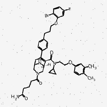 Cc1ccc(OCCN(C(=O)C2=C(c3ccc(CCCOc4cc(F)ccc4Br)cc3)CC3CN(C(=O)CCCC(N)=O)C[C@H]2N3)C2CC2)cc1C